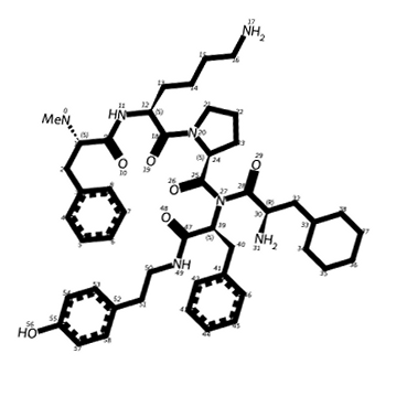 CN[C@@H](Cc1ccccc1)C(=O)N[C@@H](CCCCN)C(=O)N1CCC[C@H]1C(=O)N(C(=O)[C@H](N)CC1CCCCC1)[C@@H](Cc1ccccc1)C(=O)NCCc1ccc(O)cc1